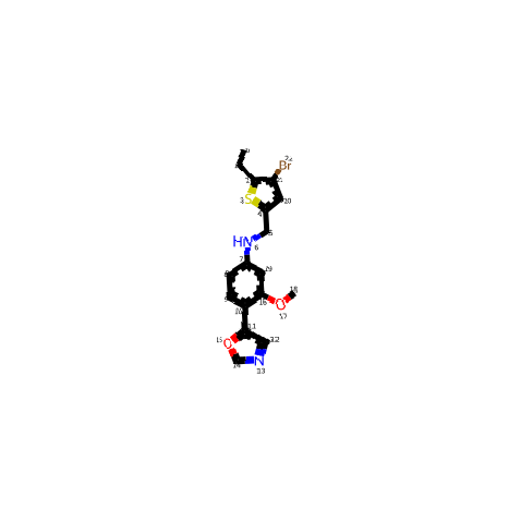 CCc1sc(CNc2ccc(-c3cnco3)c(OC)c2)cc1Br